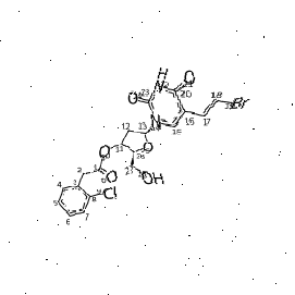 O=C(Cc1ccccc1Cl)OC1C[C@@H](n2cc(/C=C/Br)c(=O)[nH]c2=O)O[C@H]1CO